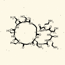 CCCCCCCC(=O)N[C@@H](CCN)C(O)N[C@H](C(=O)N[C@@H](CCN)C(=O)N[C@H]1CCNC(=O)[C@H]([C@@H](C)O)NC(=O)[C@H](CCN)NC(=O)[C@H](CO)NC(=O)[C@H](CC(C)C)NC(=O)CNC(=O)[C@H](CCN)NC1=O)[C@@H](C)O